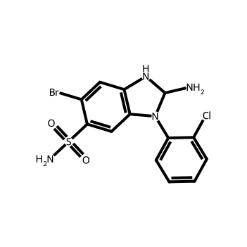 NC1Nc2cc(Br)c(S(N)(=O)=O)cc2N1c1ccccc1Cl